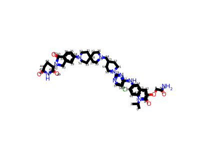 CC(C)n1c(=O)c(OCC(N)=O)cc2cc(Nc3nc(N4CCC(CN5CCC6(CC5)CCN(c5ccc7c(c5)CN(C5CCC(=O)NC5=O)C7=O)CC6)CC4)ncc3Cl)ccc21